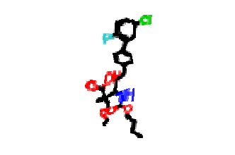 CCCCOC(=O)NC(CCc1ccc(-c2cc(Cl)ccc2F)cc1)C(C)(COCC)C(=O)O